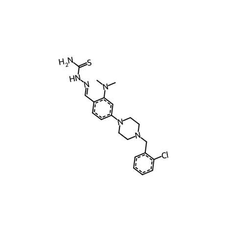 CN(C)c1cc(N2CCN(Cc3ccccc3Cl)CC2)ccc1C=NNC(N)=S